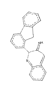 N=C1C=c2ccccc2=NC1c1cccc2c1Cc1ccccc1-2